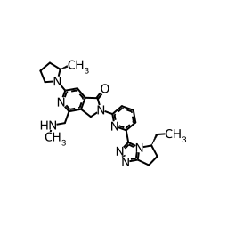 CC[C@H]1CCc2nnc(-c3cccc(N4Cc5c(cc(N6CCC[C@H]6C)nc5CNC)C4=O)n3)n21